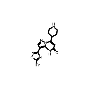 CC(C)c1nc(-c2cnn3c(C4CCNCC4)cc(=O)[nH]c23)no1